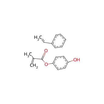 C=C(C)C(=O)Oc1ccc(O)cc1.C=Cc1ccccc1